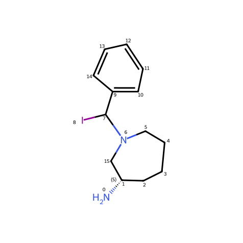 N[C@H]1CCCCN(C(I)c2ccccc2)C1